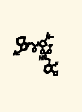 CC(=O)c1cn(CC(=O)N2C[C@@H](N(C)C)[C@H](F)[C@H]2OC(=O)NCc2cccc(Cl)c2F)c2ccccc12